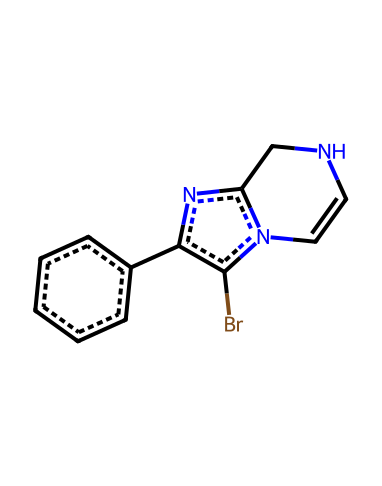 Brc1c(-c2ccccc2)nc2n1C=CNC2